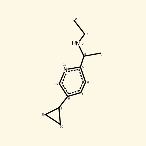 CCNC(C)c1ccc(C2CC2)cn1